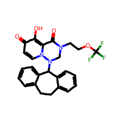 O=C1c2c(O)c(=O)ccn2N(C2c3ccccc3CCc3ccccc32)CN1CCOC(F)(F)F